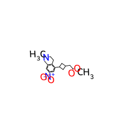 COC(=O)CC1CC(c2cc([N+](=O)[O-])cc3c2CCN(C)C3)C1